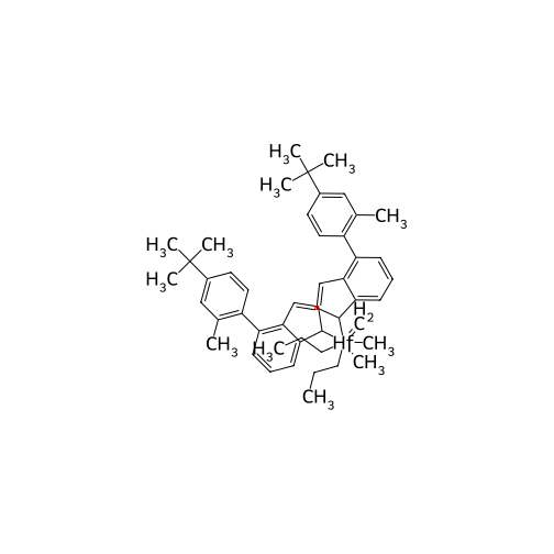 [CH2]=[Hf]([CH3])([CH3])([CH2]CC)([CH2]CC)([CH]1C=Cc2c(-c3ccc(C(C)(C)C)cc3C)cccc21)[CH]1C=Cc2c(-c3ccc(C(C)(C)C)cc3C)cccc21